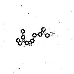 CC1C=CC=C(n2c3ccccc3c3cc(-c4cccc(-c5ccc6oc7ccc(N(c8ccc(-c9ccccc9)cc8)c8cccc9ccccc89)cc7c6c5)c4)ccc32)C1